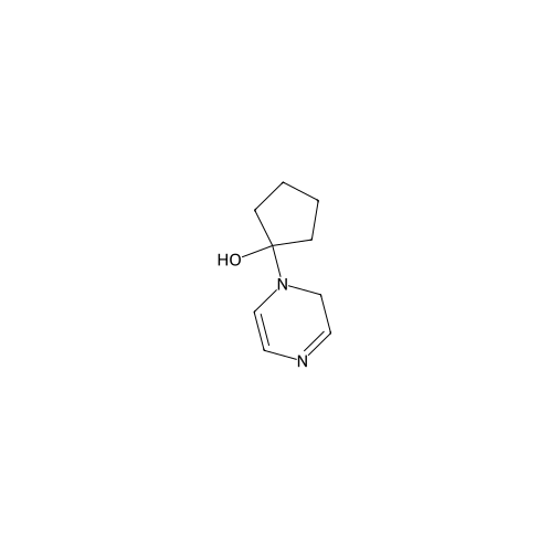 OC1(N2C=CN=CC2)CCCC1